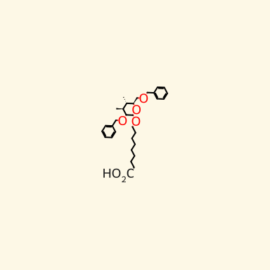 C[C@H]1[C@H](C)[C@@H](COCc2ccccc2)O[C@H](OCCCCCCCCC(=O)O)[C@@H]1OCc1ccccc1